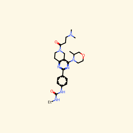 CCNC(=O)Nc1ccc(-c2nc3c(c(N4CCOCC4C)n2)CN(C(=O)CCN(C)C)CC3)cc1